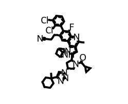 Cc1nc2c(F)c(-c3cccc(Cl)c3Cl)c(CCC#N)cc2c2c1cc(C1CC(n3cc(C4(C)CCCCC4)nn3)CN1C(=O)C1CC1)n2C1C2CNC1C2